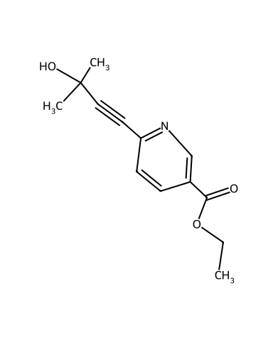 CCOC(=O)c1ccc(C#CC(C)(C)O)nc1